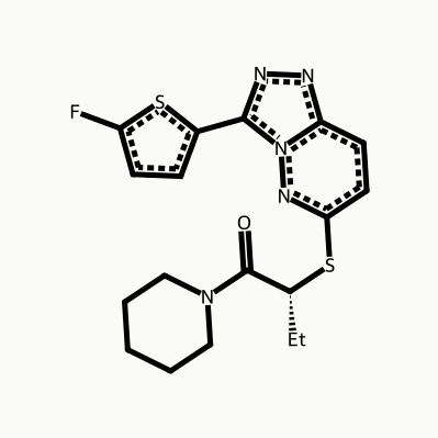 CC[C@@H](Sc1ccc2nnc(-c3ccc(F)s3)n2n1)C(=O)N1CCCCC1